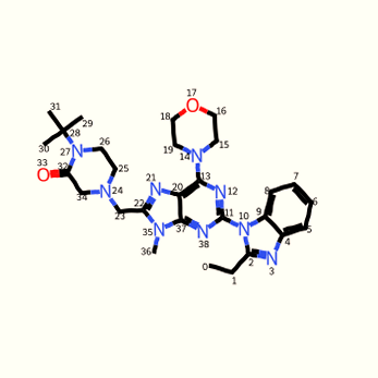 CCc1nc2ccccc2n1-c1nc(N2CCOCC2)c2nc(CN3CCN(C(C)(C)C)C(=O)C3)n(C)c2n1